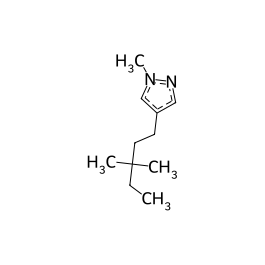 CCC(C)(C)CCc1cnn(C)c1